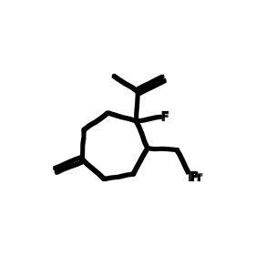 C=C1CCC(CC(C)C)C(F)(C(=C)C)CC1